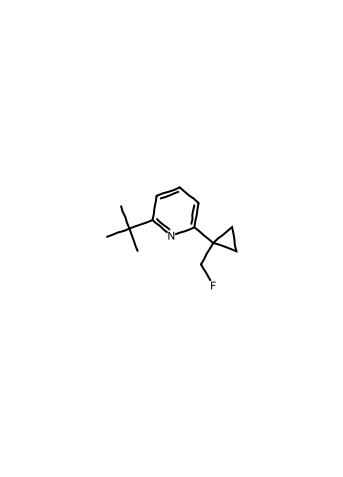 CC(C)(C)c1cccc(C2(CF)CC2)n1